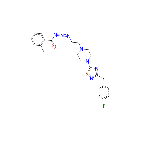 Cc1ccccc1C(=O)N=[N+]=NCCN1CCN(c2nc(Cc3ccc(F)cc3)ns2)CC1